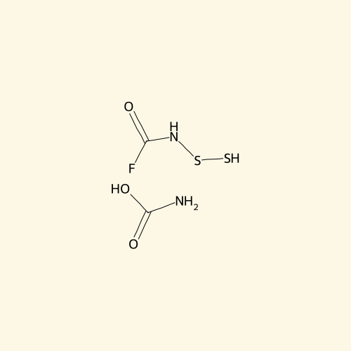 NC(=O)O.O=C(F)NSS